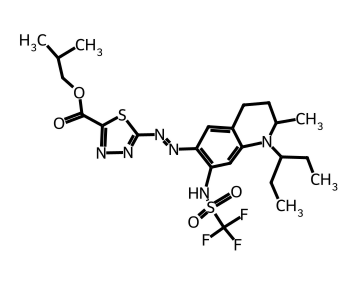 CCC(CC)N1c2cc(NS(=O)(=O)C(F)(F)F)c(N=Nc3nnc(C(=O)OCC(C)C)s3)cc2CCC1C